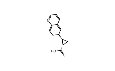 O=C(O)[C@H]1C[C@@H]1C1C=c2cccnc2=CC1